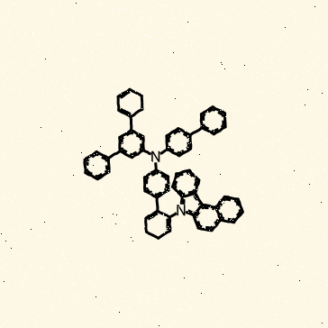 C1=CCCC(c2cc(-c3ccccc3)cc(N(c3ccc(C4=CCCC=C4n4c5ccccc5c5c6ccccc6ccc54)cc3)c3ccc(-c4ccccc4)cc3)c2)=C1